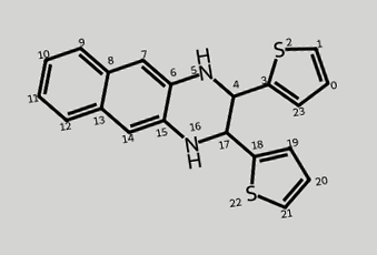 c1csc(C2Nc3cc4ccccc4cc3NC2c2cccs2)c1